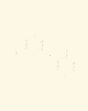 Cc1ccccc1C(C)(C)c1cccc(F)c1